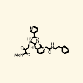 CNC(=O)C(=O)CC[C@H](NC(=O)c1cccnc1)C(=O)Nc1cccn(CC(=O)NCCc2ccccc2)c1=O